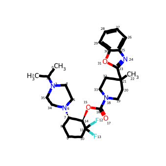 CC(C)N1CCN([C@H]2CCCC(F)(F)[C@@H]2OC(=O)N2CCC(C)(c3nc4ccccc4o3)CC2)CC1